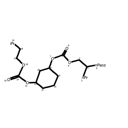 CCCCCC(CCC)COC(=O)OC1CCCC(OC(=O)OCCC(C)C)C1